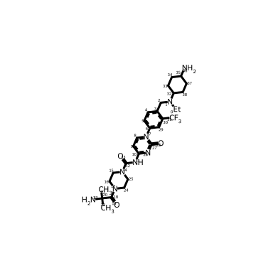 CCN(Cc1ccc(-n2ccc(NC(=O)N3CCN(C(=O)C(C)(C)N)CC3)nc2=O)cc1C(F)(F)F)C1CCC(N)CC1